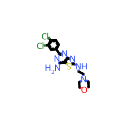 Nc1nc(-c2ccc(Cl)c(Cl)c2)nc2nc(NCCN3CCOCC3)sc12